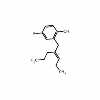 CC/C=C(\CCC)Cc1cc(F)ccc1O